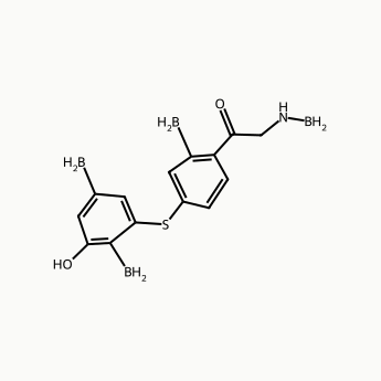 BNCC(=O)c1ccc(Sc2cc(B)cc(O)c2B)cc1B